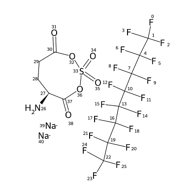 FC(F)(F)C(F)(F)C(F)(F)C(F)(F)C(F)(F)C(F)(F)C(F)(F)C(F)(F)F.N[C@H]1CCC(=O)OS(=O)(=O)OC1=O.[Na].[Na]